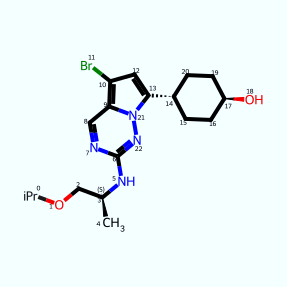 CC(C)OC[C@H](C)Nc1ncc2c(Br)cc([C@H]3CC[C@H](O)CC3)n2n1